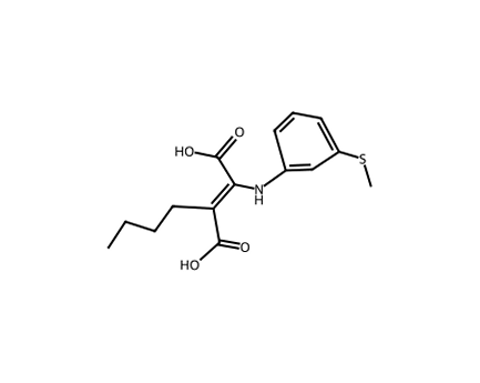 CCCCC(C(=O)O)=C(Nc1cccc(SC)c1)C(=O)O